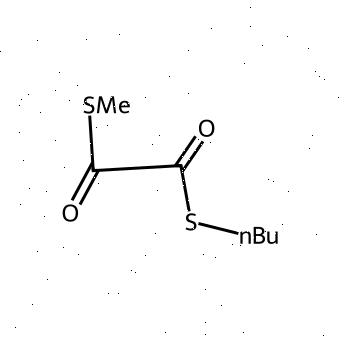 CCCCSC(=O)C(=O)SC